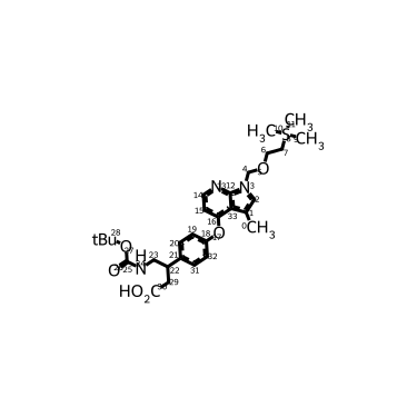 Cc1cn(COCCS(C)(C)C)c2nccc(Oc3ccc(C(CNC(=O)OC(C)(C)C)CC(=O)O)cc3)c12